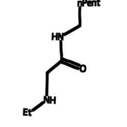 CCCCCCNC(=O)CNCC